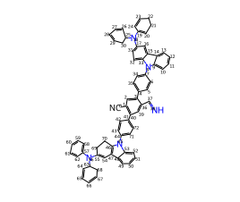 N#Cc1cc(-c2ccc(-n3c4ccccc4c4cc(N(C5=CCCC=C5)C5C=CC=CC5)ccc43)cc2)c(C=N)cc1-c1ccc(-n2c3c(c4ccccc42)C=C(N(c2ccccc2)C2C=CC=CC2)CC3)cc1